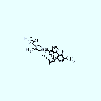 CC(=O)N[C@@H]1CC[C@H](NC(=O)c2c(C)[nH]c3c(-c4c(OCC5CC5)ccc(C)c4F)ncnc23)C[C@H]1C